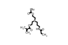 C=CC(=O)NCCCN(CCOC(=O)C(=C)C)CCOC(=O)C(C)(C)C